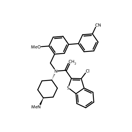 C=C(c1sc2ccccc2c1Cl)N(Cc1cc(-c2cccc(C#N)c2)ccc1OC)[C@H]1CC[C@H](NC)CC1